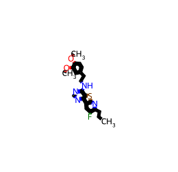 CCCc1nc2sc3c(NCCc4ccc(OC)c(OC)c4)ncnc3c2cc1F